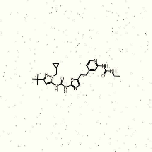 CCNC(=O)Nc1cc(CCc2cnc(NC(=O)Nc3cc(C(C)(C)C)nn3CC3CC3)s2)ccn1